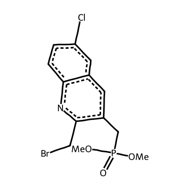 COP(=O)(Cc1cc2cc(Cl)ccc2nc1CBr)OC